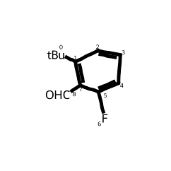 CC(C)(C)c1cccc(F)c1C=O